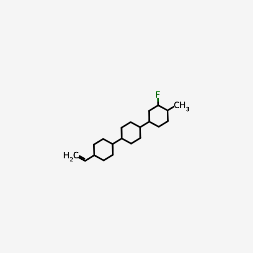 C=CC1CCC(C2CCC(C3CCC(C)C(F)C3)CC2)CC1